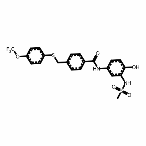 CS(=O)(=O)Nc1cc(NC(=O)c2ccc(CSc3ccc(OC(F)(F)F)cc3)cc2)ccc1O